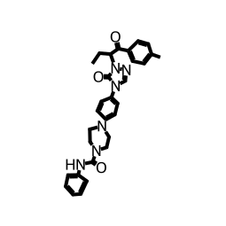 CCC(C(=O)c1ccc(C)cc1)n1ncn(-c2ccc(N3CCN(C(=O)Nc4ccccc4)CC3)cc2)c1=O